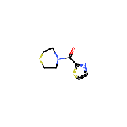 O=C(c1nccs1)N1CCSCC1